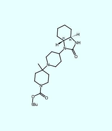 CC(C)(C)OC(=O)N1CCC(C)(N2CCC(N3C(=O)N[C@@H]4CCCC[C@H]43)CC2)CC1